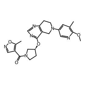 COc1ncc(N2CCc3ncnc(O[C@H]4CCN(C(=O)c5cnoc5C)C4)c3C2)cc1C